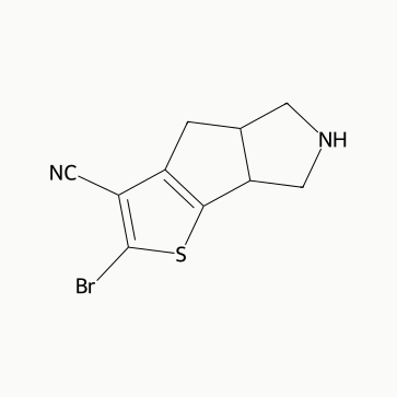 N#Cc1c(Br)sc2c1CC1CNCC21